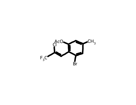 CC(=O)Oc1cc(C)cc(Br)c1C=C(Cl)C(F)(F)F